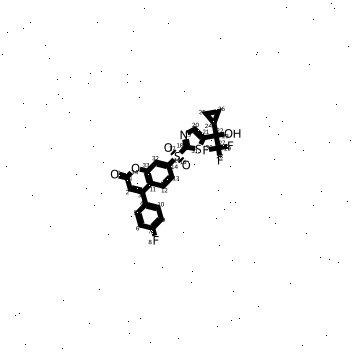 O=c1cc(-c2ccc(F)cc2)c2ccc(S(=O)(=O)c3ncc(C(O)(C4CC4)C(F)(F)F)s3)cc2o1